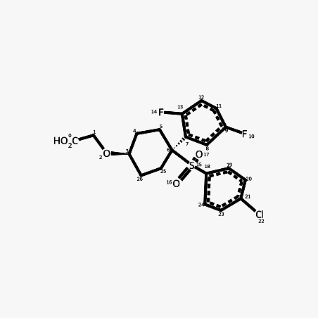 O=C(O)CO[C@H]1CC[C@@](c2cc(F)ccc2F)(S(=O)(=O)c2ccc(Cl)cc2)CC1